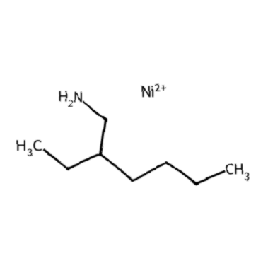 CCCCC(CC)CN.[Ni+2]